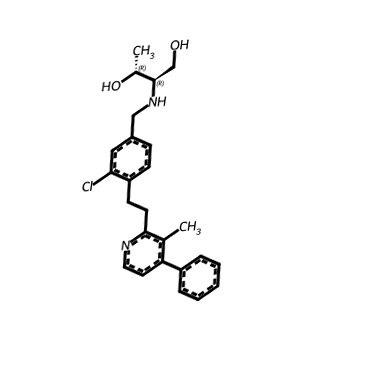 Cc1c(-c2ccccc2)ccnc1CCc1ccc(CN[C@H](CO)[C@@H](C)O)cc1Cl